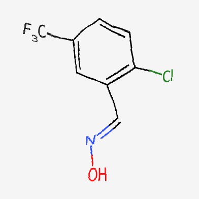 ON=Cc1cc(C(F)(F)F)ccc1Cl